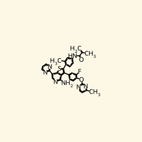 C=C(C)C(=O)Nc1ccc(-c2sc3c(-c4ncccn4)cnc(N)c3c2-c2ccc(Oc3nccc(C)n3)c(F)c2)c(C)c1